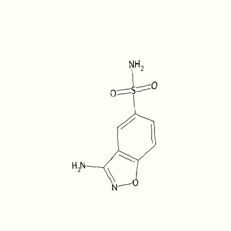 Nc1noc2ccc(S(N)(=O)=O)cc12